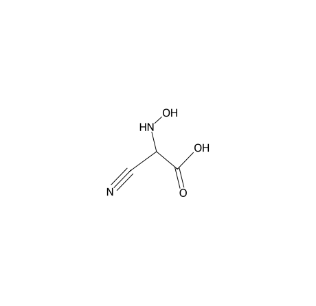 N#CC(NO)C(=O)O